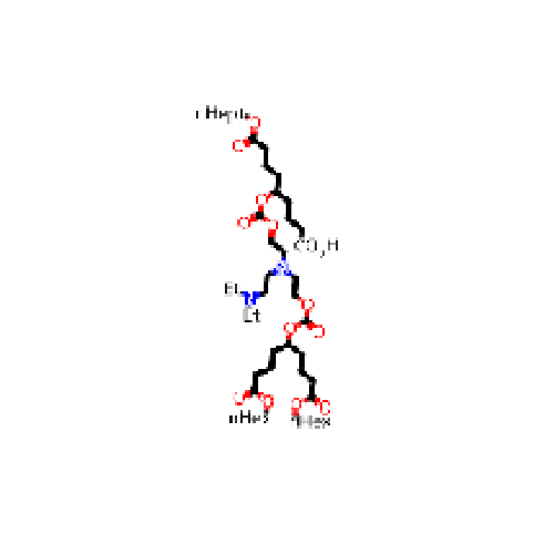 CCCCCCCOC(=O)CCCC(CCCC(=O)O)OC(=O)OCCN(CCOC(=O)OC(CCCC(=O)OCCCCCC)CCCC(=O)OCCCCCC)CCN(CC)CC